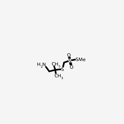 CSS(=O)(=O)CSC(C)(C)CN